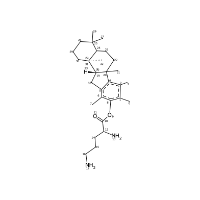 Cc1c(C)c2c(c(C)c1OC(=O)C(N)CCCN)C[C@H]1C2(C)CCC2C(C)(C)CCC[C@@]21C